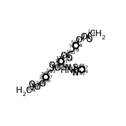 C=CC(=O)OCOc1ccc(CCC(=O)Oc2ccc(OC(=O)CCc3ccc(OCOC(=O)C=C)cc3)c(/C=N/Nc3nc4ccccc4s3)c2)cc1